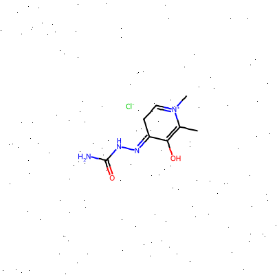 CC1=C(O)C(=NNC(N)=O)CC=[N+]1C.[Cl-]